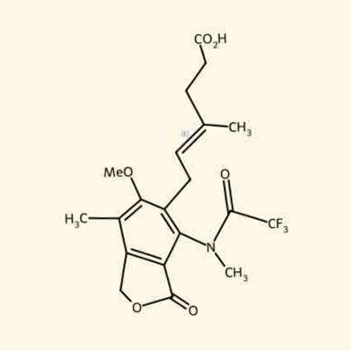 COc1c(C)c2c(c(N(C)C(=O)C(F)(F)F)c1C/C=C(\C)CCC(=O)O)C(=O)OC2